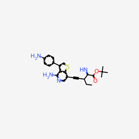 CCC(C#Cc1cnc(N)c2c(-c3ccc(N)cc3)csc12)C(=N)C(=O)OC(C)(C)C